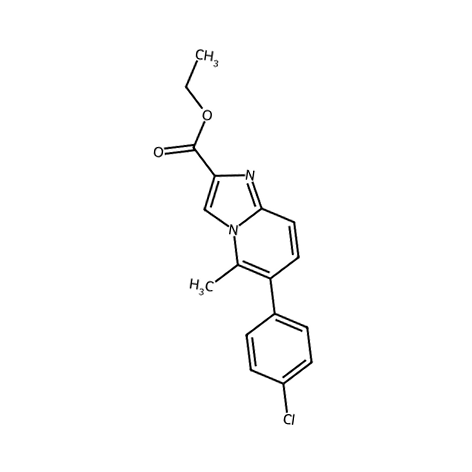 CCOC(=O)c1cn2c(C)c(-c3ccc(Cl)cc3)ccc2n1